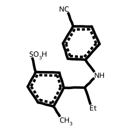 CCC(Nc1ccc(C#N)cc1)c1cc(S(=O)(=O)O)ccc1C